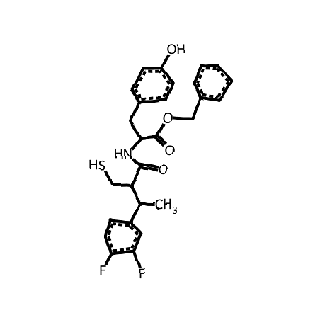 CC(c1ccc(F)c(F)c1)C(CS)C(=O)NC(Cc1ccc(O)cc1)C(=O)OCc1ccccc1